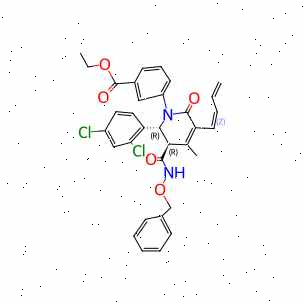 C=C/C=C\C1=C(C)[C@@H](C(=O)NOCc2ccccc2)[C@H](c2ccc(Cl)cc2Cl)N(c2cccc(C(=O)OCC)c2)C1=O